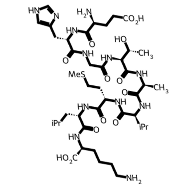 CSCC[C@H](NC(=O)[C@@H](NC(=O)[C@H](C)NC(=O)[C@@H](NC(=O)CNC(=O)[C@H](Cc1c[nH]cn1)NC(=O)[C@@H](N)CCC(=O)O)[C@@H](C)O)C(C)C)C(=O)N[C@@H](CC(C)C)C(=O)N[C@@H](CCCCN)C(=O)O